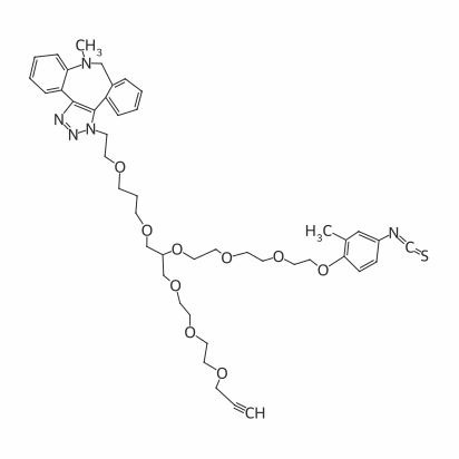 C#CCOCCOCCOCC(COCCCOCCn1nnc2c1-c1ccccc1CN(C)c1ccccc1-2)OCCOCCOCCOc1ccc(N=C=S)cc1C